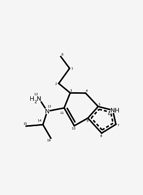 CCCC1Cc2[nH]ccc2C=C1N(N)C(C)C